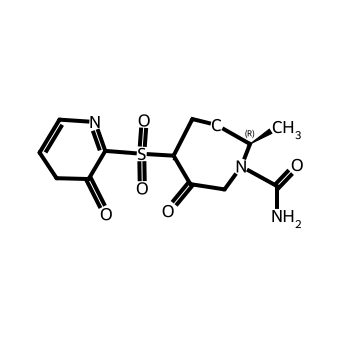 C[C@@H]1CC[C](S(=O)(=O)C2=NC=CCC2=O)C(=O)CN1C(N)=O